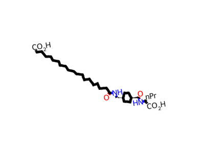 CCCC(NC(=O)[C@H]1CC[C@H](CNC(=O)CCCCCCCCCCCCCCCCCCC(=O)O)CC1)C(=O)O